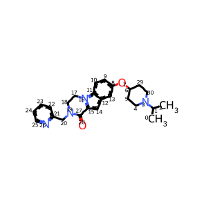 CC(C)N1CCC(Oc2ccc3c(c2)cc2n3CCN(Cc3ccccn3)C2=O)CC1